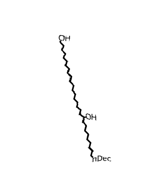 CCCCCCCCCCCCCCCCCCCC(O)CCCCCCCCCCCCCCCCCCCO